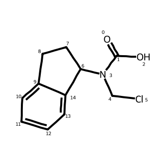 O=C(O)N(CCl)C1CCc2ccccc21